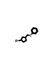 CC(C)C1CCC(CSc2ccccc2)C1